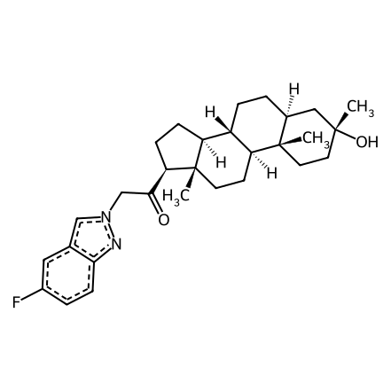 C[C@@]1(O)CC[C@@]2(C)[C@@H](CC[C@@H]3[C@@H]2CC[C@]2(C)[C@@H](C(=O)Cn4cc5cc(F)ccc5n4)CC[C@@H]32)C1